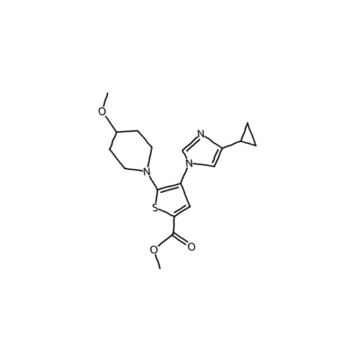 COC(=O)c1cc(-n2cnc(C3CC3)c2)c(N2CCC(OC)CC2)s1